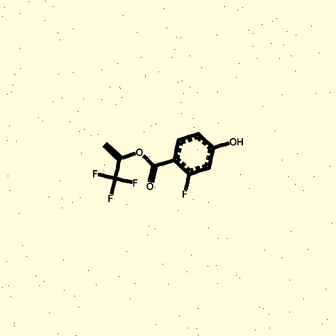 C=C(OC(=O)c1ccc(O)cc1F)C(F)(F)F